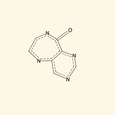 O=c1nccnc2cncnc12